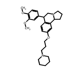 COc1ccc(C2CN3CCCC3c3cc(OCCCN4CCCCC4)ccc32)cc1OC